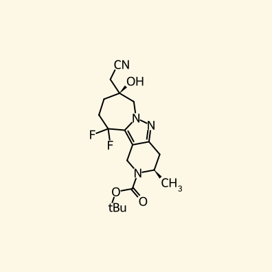 C[C@@H]1Cc2nn3c(c2CN1C(=O)OC(C)(C)C)C(F)(F)CC[C@](O)(CC#N)C3